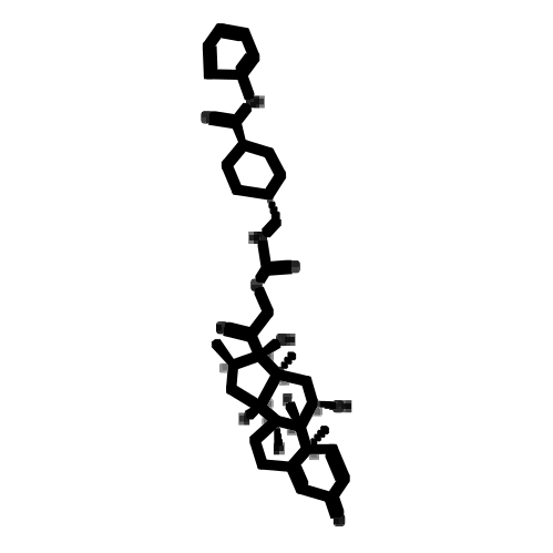 C[C@@H]1C[C@H]2[C@@H]3CCC4=CC(=O)C=C[C@]4(C)[C@@]3(F)[C@@H](O)C[C@]2(C)[C@@]1(O)C(=O)COC(=O)NC[C@H]1CC[C@H](C(=O)Nc2ccccc2)CC1